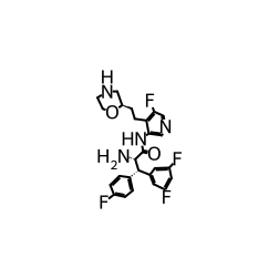 N[C@H](C(=O)Nc1cncc(F)c1CC[C@@H]1CNCCO1)[C@@H](c1ccc(F)cc1)c1cc(F)cc(F)c1